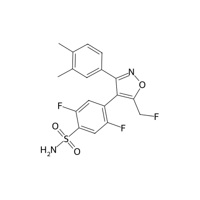 Cc1ccc(-c2noc(CF)c2-c2cc(F)c(S(N)(=O)=O)cc2F)cc1C